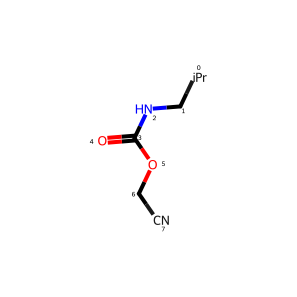 CC(C)CNC(=O)OCC#N